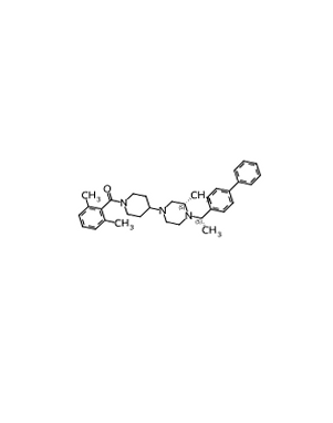 Cc1cccc(C)c1C(=O)N1CCC(N2CCN([C@@H](C)c3ccc(-c4ccccc4)cc3)[C@@H](C)C2)CC1